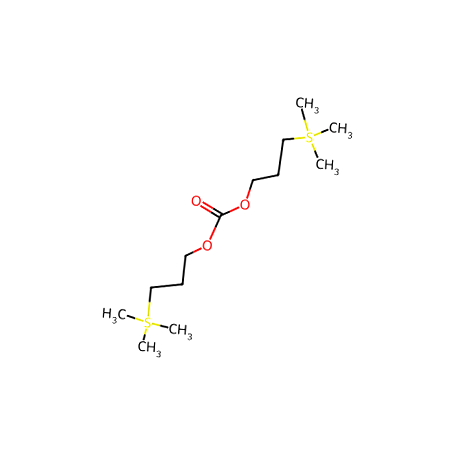 CS(C)(C)CCCOC(=O)OCCCS(C)(C)C